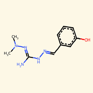 CN(C)N=C(N)NN=Cc1cccc(O)c1